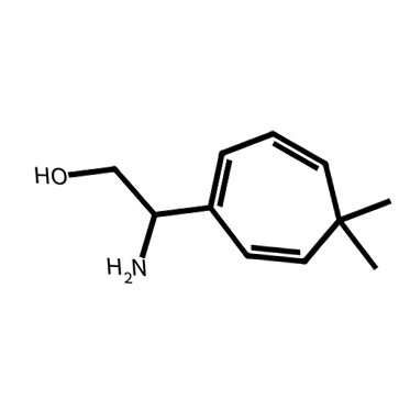 CC1(C)C=CC=C(C(N)CO)C=C1